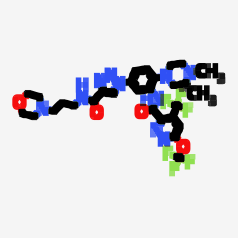 C[C@H]1CN(c2ccc(-n3cc(C(=O)NCCCN4CCOCC4)nn3)cc2NC(=O)c2nnc(OC(F)(F)F)cc2C(F)(F)F)CCN1C